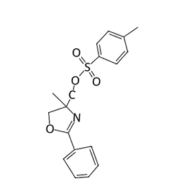 Cc1ccc(S(=O)(=O)OCC2(C)COC(c3ccccc3)=N2)cc1